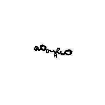 O=C(CSCc1ccccc1)NCCCOc1cccc(CN2CCCC2)c1